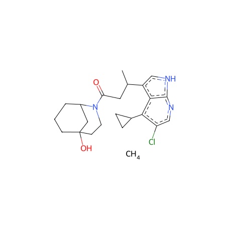 C.CC(CC(=O)N1CCC2(O)CCCC1C2)c1c[nH]c2ncc(Cl)c(C3CC3)c12